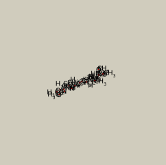 COCC[C@H](/N=C\OOC)C(=O)N[C@@H](c1ncc(-c2ccc(-c3ccc(-c4cnc([C@H](NC(=O)[C@H](CCOC)NC(=O)OC)C(C)C)[nH]4)cc3)cc2)[nH]1)C(C)C